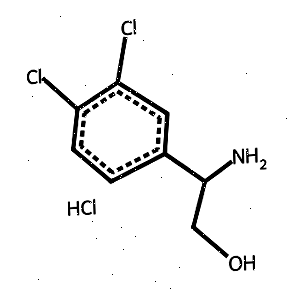 Cl.NC(CO)c1ccc(Cl)c(Cl)c1